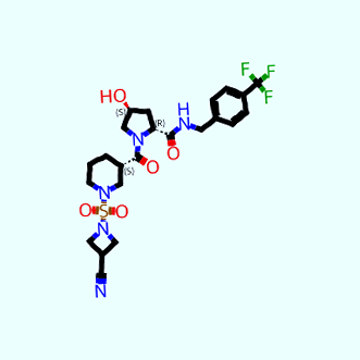 N#CC1CN(S(=O)(=O)N2CCC[C@H](C(=O)N3C[C@@H](O)C[C@@H]3C(=O)NCc3ccc(C(F)(F)F)cc3)C2)C1